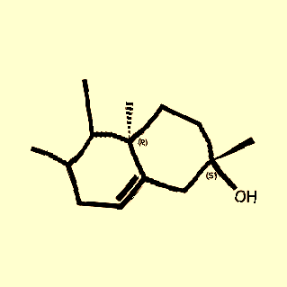 CC1CC=C2C[C@@](C)(O)CC[C@]2(C)C1C